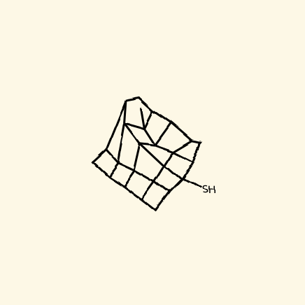 CC12C3CC4C5CC6C7C8CC9C%10(S)C%11CC%12C3C13C%12%11C%101C89C78C56C42C381